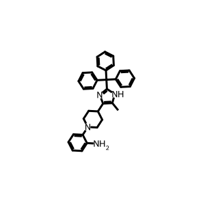 Cc1[nH]c(C(c2ccccc2)(c2ccccc2)c2ccccc2)nc1C1CCN(c2ccccc2N)CC1